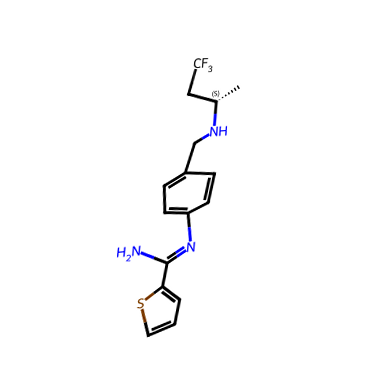 C[C@@H](CC(F)(F)F)NCc1ccc(N=C(N)c2cccs2)cc1